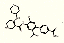 CNC(=O)c1ccc(-c2cc(F)c(NC(=N)C3=C(NC4CCOCC4)CCNC3)cc2C(F)F)cn1